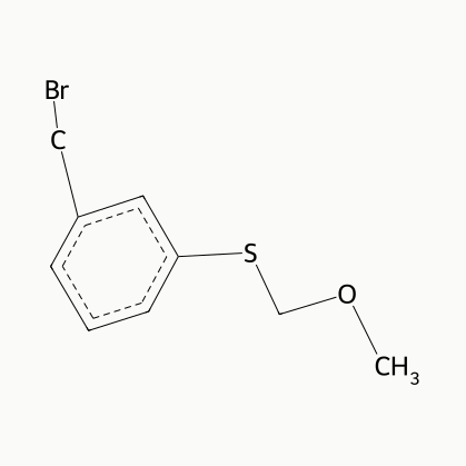 COCSc1cccc(CBr)c1